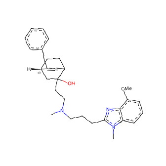 COc1cccc2c1nc(CCCN(C)CCC1(O)C[C@@H]3CCC1C=C3c1ccccc1)n2C